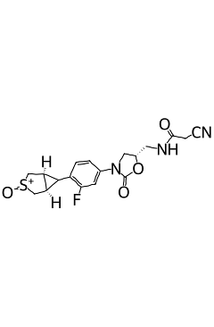 N#CCC(=O)NC[C@H]1CN(c2ccc(C3[C@H]4C[S+]([O-])C[C@@H]34)c(F)c2)C(=O)O1